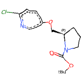 CC(C)(C)OC(=O)N1CCC[C@@H]1COc1ccc(Cl)nc1